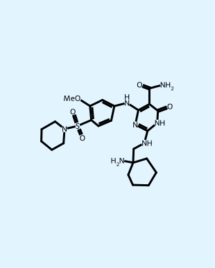 COc1cc(Nc2nc(NCC3(N)CCCCC3)[nH]c(=O)c2C(N)=O)ccc1S(=O)(=O)N1CCCCC1